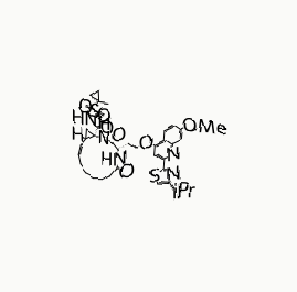 COc1ccc2c(OCC[C@@H]3NC(=O)CCCCC/C=C\[C@@H]4C[C@@]4(C(=O)NS(=O)(=O)C4(C)CC4)NC3=O)cc(-c3nc(C(C)C)cs3)nc2c1